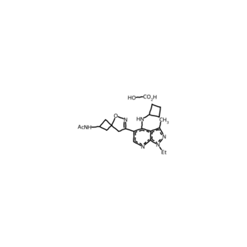 CCn1nc(C)c2c(NC3CCC3)c(C3=NOC4(C3)CC(NC(C)=O)C4)cnc21.O=C(O)O